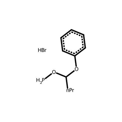 Br.CCCC(OP)Oc1ccccc1